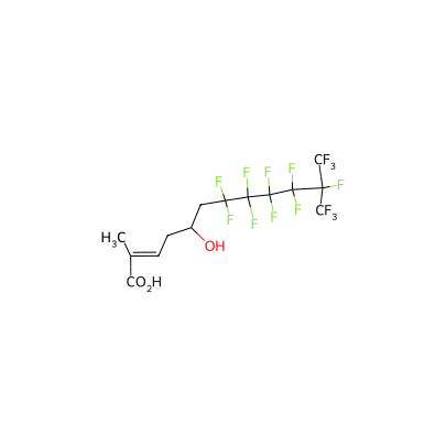 C/C(=C\CC(O)CC(F)(F)C(F)(F)C(F)(F)C(F)(F)C(F)(C(F)(F)F)C(F)(F)F)C(=O)O